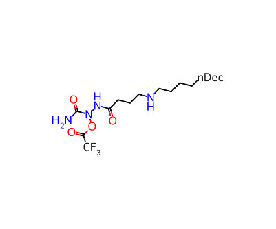 CCCCCCCCCCCCCCNCCCC(=O)NN(OC(=O)C(F)(F)F)C(N)=O